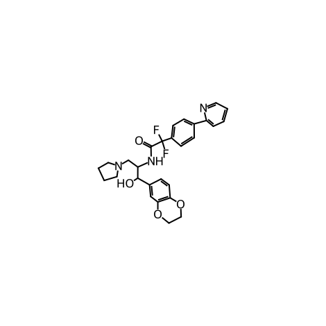 O=C(NC(CN1CCCC1)C(O)c1ccc2c(c1)OCCO2)C(F)(F)c1ccc(-c2ccccn2)cc1